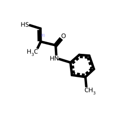 C/C(=C\S)C(=O)Nc1cccc(C)c1